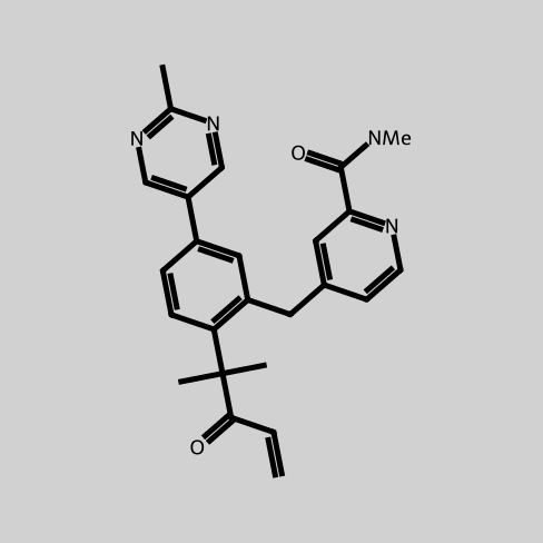 C=CC(=O)C(C)(C)c1ccc(-c2cnc(C)nc2)cc1Cc1ccnc(C(=O)NC)c1